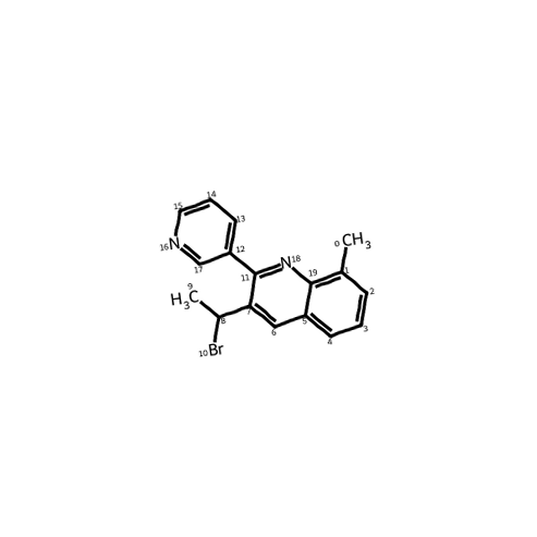 Cc1cccc2cc(C(C)Br)c(-c3cccnc3)nc12